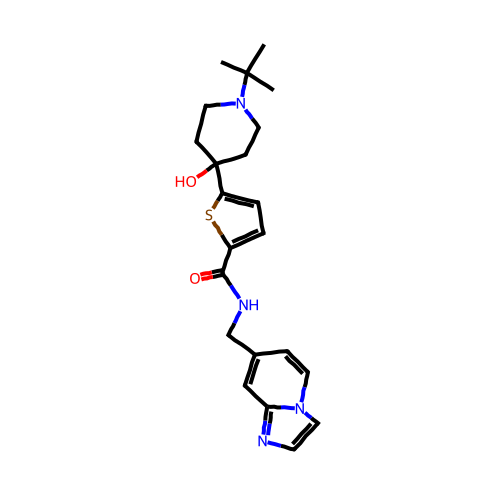 CC(C)(C)N1CCC(O)(c2ccc(C(=O)NCc3ccn4ccnc4c3)s2)CC1